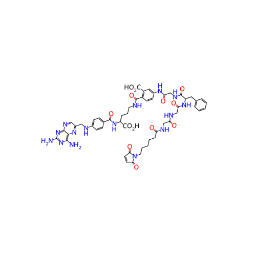 Nc1nc(N)c2nc(CNc3ccc(C(=O)NC(CCCNC(=O)c4ccc(NC(=O)CNC(=O)C(Cc5ccccc5)NC(=O)CNC(=O)CNC(=O)CCCCCN5C(=O)C=CC5=O)cc4C(=O)O)C(=O)O)cc3)cnc2n1